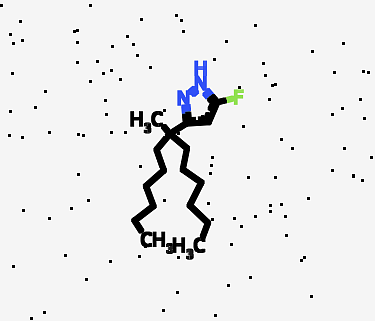 CCCCCCC(C)(CCCCCC)c1cc(F)[nH]n1